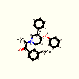 COc1cccc(C(=O)C(C)N2CC[C@@H](Oc3ccccc3)[C@H](c3ccccc3)C2)c1